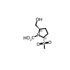 CS(=O)(=O)[C@H]1CC[C@H](CO)N1C(=O)O